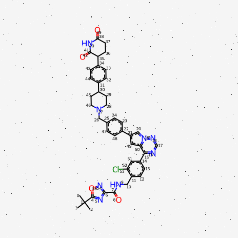 CC(C)(C)c1nc(C(=O)NCc2ccc(-c3ncnn4cc(-c5ccc(CN6CCC(c7ccc(C8CCC(=O)NC8=O)cc7)CC6)cc5)cc34)cc2Cl)no1